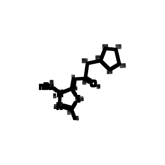 CCCCN1N=C(C)S/C1=C\C(=O)CC1CCCC1